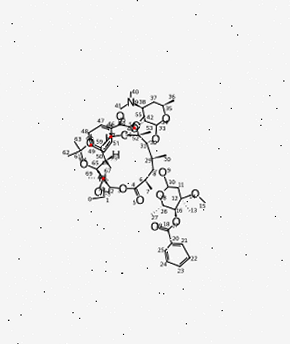 CC[C@H]1OC(=O)[C@H](C)[C@@H](OC2C[C@@](C)(OC)[C@@H](OC(=O)c3ccccc3)[C@H](C)O2)[C@H](C)[C@@H](OC2O[C@H](C)C[C@H](N(C)C)[C@H]2OC(=O)c2ccccc2)[C@@](C)(OC)C[C@@H](C)[C@@H]2OC(C)(C)O[C@H]([C@H]2C)[C@]1(C)O